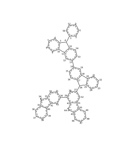 c1ccc(C2c3ccccc3-c3cc(-c4ccc5c(c4)-c4ccccc4C5c4cc(-c5ccc6sc7ccccc7c6c5)c5sc6ccccc6c5c4)ccc32)cc1